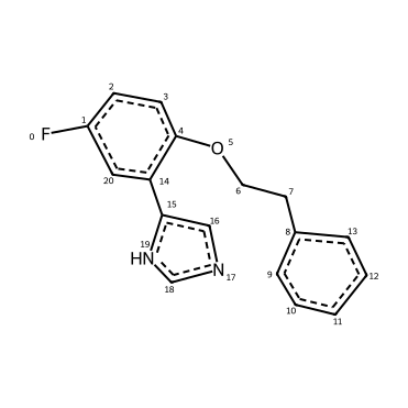 Fc1ccc(OCCc2ccccc2)c(-c2cnc[nH]2)c1